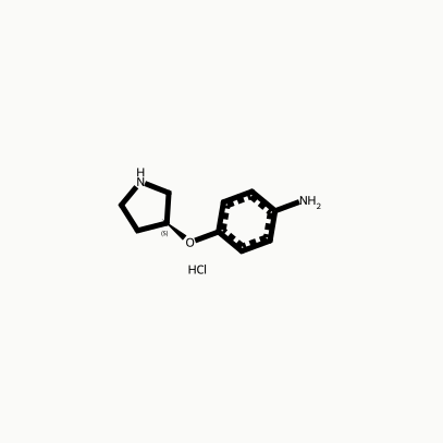 Cl.Nc1ccc(O[C@H]2CCNC2)cc1